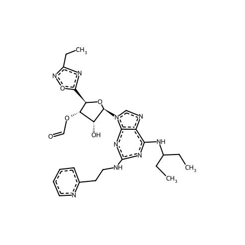 CCc1noc([C@H]2O[C@@H](n3cnc4c(NC(CC)CC)nc(NCCc5ccccn5)nc43)[C@H](O)[C@@H]2OC=O)n1